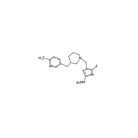 CC(=O)Nc1nc(F)c(CN2CCCC(Cc3ccc(C)nc3)C2)s1